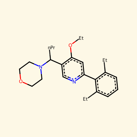 CCCC(c1cnc(-c2c(CC)cccc2CC)cc1OCC)N1CCOCC1